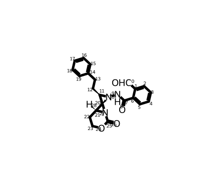 O=Cc1ccccc1C(=O)NN1[C@H](CCc2ccccc2)[C@]12[C@@H]1CCOC(=O)N12